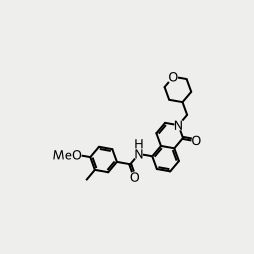 COc1ccc(C(=O)Nc2cccc3c(=O)n(CC4CCOCC4)ccc23)cc1C